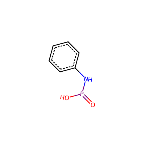 O=[P](O)Nc1ccccc1